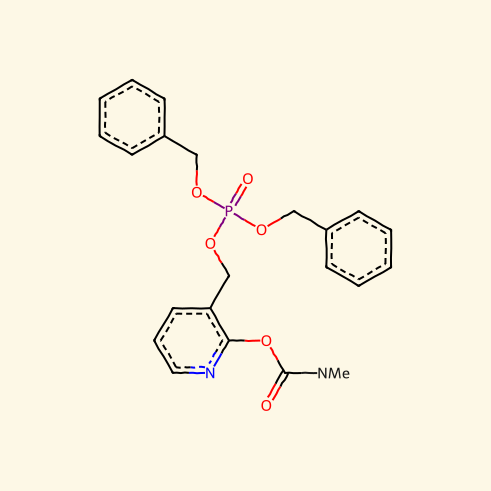 CNC(=O)Oc1ncccc1COP(=O)(OCc1ccccc1)OCc1ccccc1